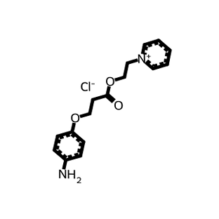 Nc1ccc(OCCC(=O)OCC[n+]2ccccc2)cc1.[Cl-]